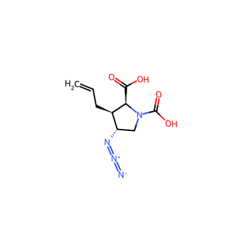 C=CC[C@@H]1[C@@H](N=[N+]=[N-])CN(C(=O)O)[C@@H]1C(=O)O